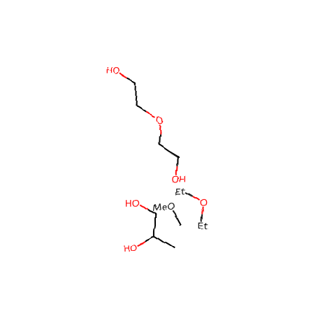 CC(O)CO.CCOCC.COC.OCCOCCO